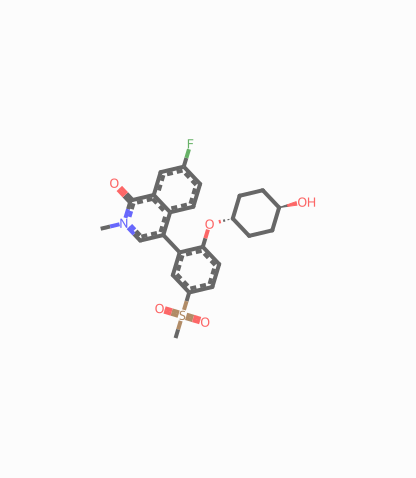 Cn1cc(-c2cc(S(C)(=O)=O)ccc2O[C@H]2CC[C@H](O)CC2)c2ccc(F)cc2c1=O